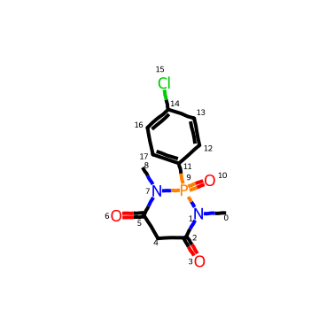 CN1C(=O)CC(=O)N(C)P1(=O)c1ccc(Cl)cc1